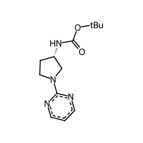 CC(C)(C)OC(=O)N[C@H]1CCN(c2ncccn2)C1